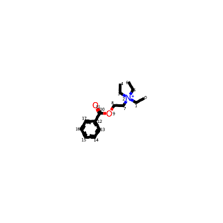 CC[N+](CC)(CC)CCOC(=O)c1ccccc1